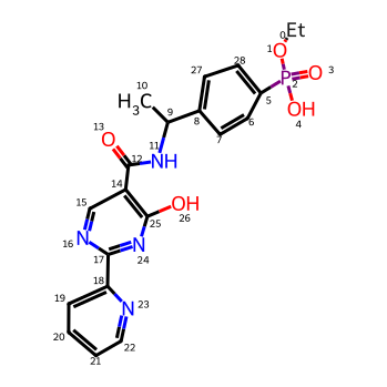 CCOP(=O)(O)c1ccc(C(C)NC(=O)c2cnc(-c3ccccn3)nc2O)cc1